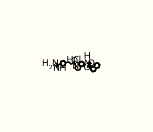 Cl.N=C(N)c1ccc(CCC(=O)N2CCCc3cc(NS(=O)(=O)c4cccc5ccccc45)ccc32)cc1